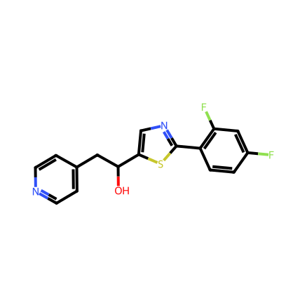 OC(Cc1ccncc1)c1cnc(-c2ccc(F)cc2F)s1